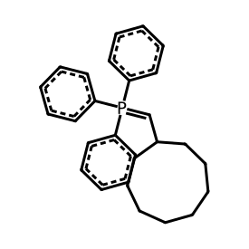 C(C1CCCCCCCC1)=P(c1ccccc1)(c1ccccc1)c1ccccc1